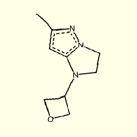 Cc1cc2n(n1)CCN2C1COC1